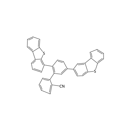 N#Cc1ccccc1-c1cc(-c2ccc3sc4ccccc4c3c2)ccc1-c1cccc2c1sc1ccccc12